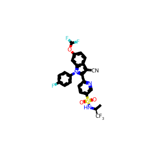 C[C@H](NS(=O)(=O)c1ccc(-c2c(C#N)c3ccc(OC(F)F)cc3n2-c2ccc(F)cc2)nc1)C(F)(F)F